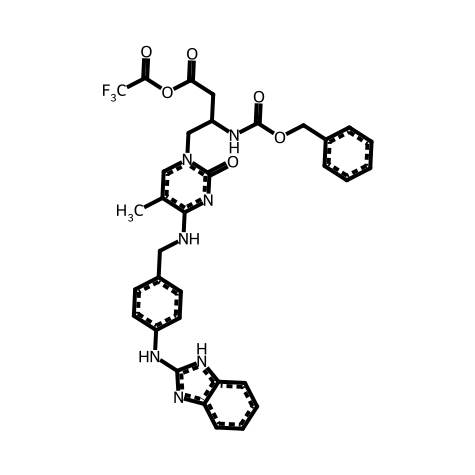 Cc1cn(CC(CC(=O)OC(=O)C(F)(F)F)NC(=O)OCc2ccccc2)c(=O)nc1NCc1ccc(Nc2nc3ccccc3[nH]2)cc1